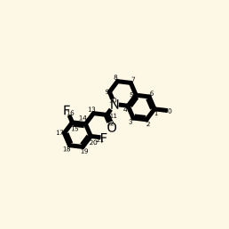 Cc1ccc2c(c1)CCCN2C(=O)Cc1c(F)cccc1F